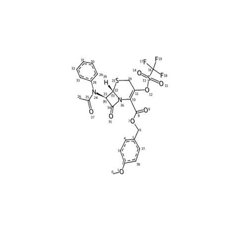 COc1ccc(COC(=O)C2=C(OS(=O)(=O)C(F)(F)F)CS[C@H]3[C@H](N(C(C)=O)c4ccccc4)C(=O)N23)cc1